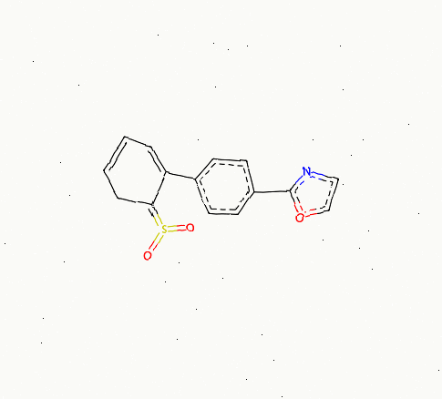 O=S(=O)=C1CC=CC=C1c1ccc(-c2ncco2)cc1